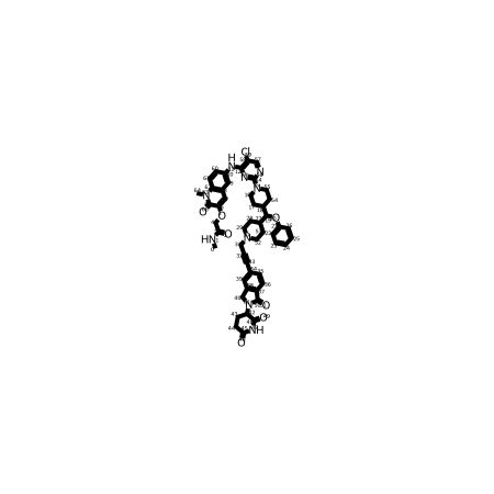 CNC(=O)COc1cc2cc(Nc3nc(N4CCC(C(Oc5ccccc5)C5CCN(CC#Cc6ccc7c(c6)CN(C6CCC(=O)NC6=O)C7=O)CC5)CC4)ncc3Cl)ccc2n(C)c1=O